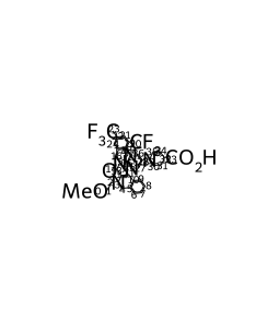 COCCN1Cc2ccccc2C=C1C(=O)N(Cc1cc(C(F)(F)F)cc(C(F)(F)F)c1)c1ncc(N2CCC(C(=O)O)CC2)cn1